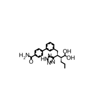 CCC[C@H](C(O)O)[C@H](Cc1cccc(-c2ccc(C(N)=O)cc2)c1)c1nn[nH]n1